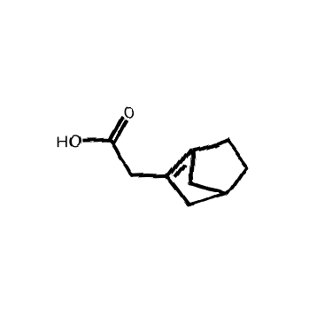 O=C(O)CC1=C2CCC(C2)C1